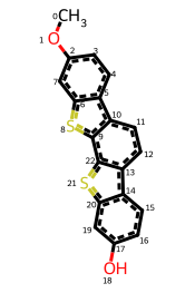 COc1ccc2c(c1)sc1c2ccc2c3ccc(O)cc3sc21